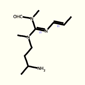 C/C=C/N=C(\N(C)C=O)N(C)CCC(C)N